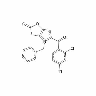 O=C1Cc2c(cc(C(=O)c3ccc(Cl)cc3Cl)n2Cc2ccccc2)O1